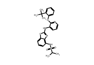 CC(C)S(=O)(=O)Nc1cccc2oc(Nc3cccnc3Oc3ccccc3C(C)(C)C)nc12